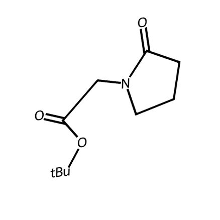 CC(C)(C)OC(=O)CN1CCCC1=O